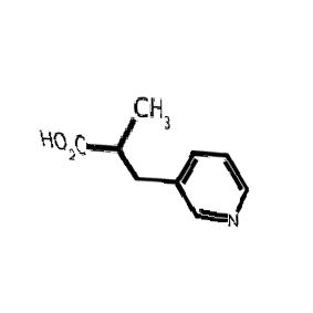 CC(Cc1cccnc1)C(=O)O